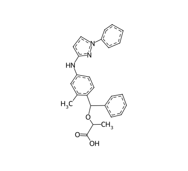 Cc1cc(Nc2ccn(-c3ccccc3)n2)ccc1C(OC(C)C(=O)O)c1ccccc1